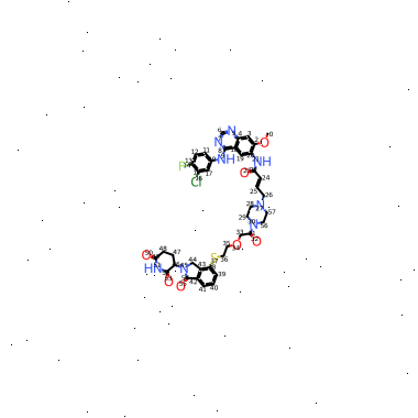 COc1cc2ncnc(Nc3ccc(F)c(Cl)c3)c2cc1NC(=O)/C=C/CN1CCN(C(=O)COCCSc2cccc3c2CN(C2CCC(=O)NC2=O)C3=O)CC1